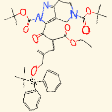 C=C(CO[Si](c1ccccc1)(c1ccccc1)C(C)(C)C)CC(C(=O)OCC)C(=O)c1c2c(nn1C(=O)OC(C)(C)C)CCN(C(=O)OC(C)(C)C)C2